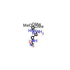 COc1cc(Nc2nc(N)c3scc(-c4cccc(NC(=O)c5cscn5)c4)c3n2)cc(OC)c1OC